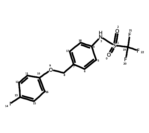 O=S(=O)(Nc1ccc(COc2ccc(I)cc2)cc1)C(F)(F)F